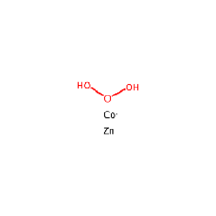 OOO.[Co].[Zn]